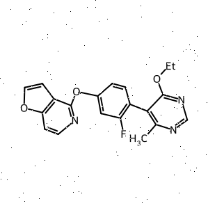 CCOc1ncnc(C)c1-c1ccc(Oc2nccc3occc23)cc1F